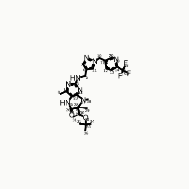 Cc1nc(NCc2cnn(Cc3ccc(C(F)(F)F)nc3)c2)nc2c1NC(=O)[C@@](C)([C@H](C)OC(C)(C)C)N2C